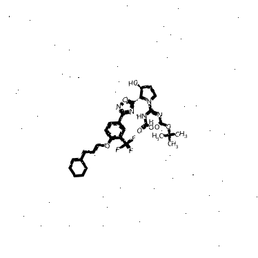 CC(C)(C)OC(=O)/N=C(\NC(=O)O)N1CC[C@H](O)[C@H]1c1nc(-c2ccc(OCCCC3CCCCC3)c(C(F)(F)F)c2)no1